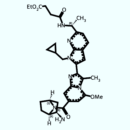 CCOC(=O)CCC(=O)N[C@H](C)c1ccc2cc(-c3nc4cc(C(=O)N5[C@H]6CC[C@@H]5[C@H](N)C6)cc(OC)n4c3C)n(CC3CC3)c2n1